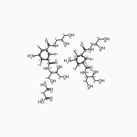 Nc1c(I)c(C(=O)NCC(O)CO)c(I)c(C(=O)NC(CO)C(O)CO)c1I.Nc1c(I)c(C(=O)NCC(O)CO)c(I)c(C(=O)NC(CO)C(O)CO)c1I.O=C(O)CC(=O)O